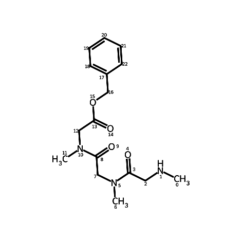 CNCC(=O)N(C)CC(=O)N(C)CC(=O)OCc1ccccc1